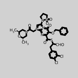 C[C@H]1CN(C(=O)Cn2cc(N3CCCS3(=O)=O)n3c(=O)c(OCc4ccccc4)c(C(=O)SC(C=O)Cc4ccc(Cl)c(Cl)c4)nc23)C[C@H](C)O1